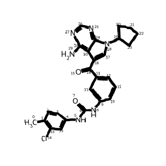 Cc1ccc(NC(=O)Nc2cccc(C(=O)c3cn(C4CCCC4)c4ncnc(N)c34)c2)cc1Cl